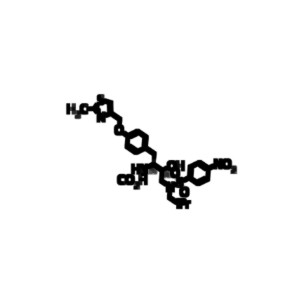 Cc1nc(COc2ccc(C[C@H](NC(=O)O)[C@@H](O)CN(CC(C)C)S(=O)(=O)c3ccc([N+](=O)[O-])cc3)cc2)cs1